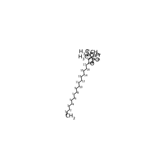 C=CCCCCCCCCCCCCCCCCCCC(CCC)(P(=O)=O)[N+](C)(C)C